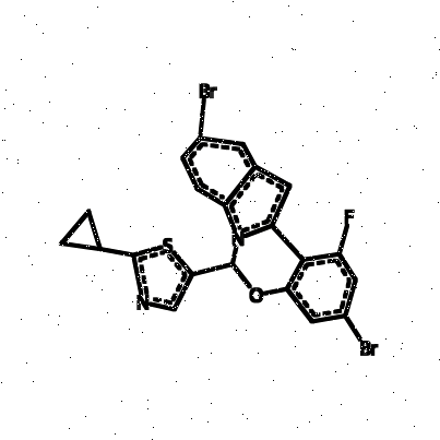 Fc1cc(Br)cc2c1-c1cc3cc(Br)ccc3n1C(c1cnc(C3CC3)s1)O2